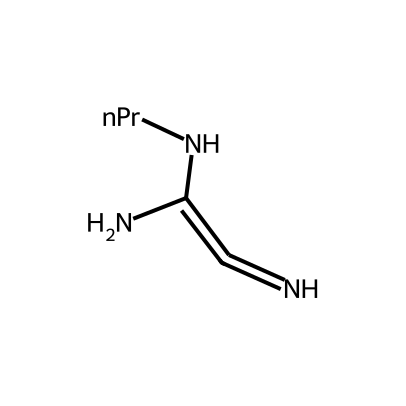 CCCNC(N)=C=N